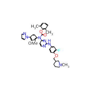 COc1cc(-n2cccn2)ccc1N(C(=O)Oc1c(C)cccc1C)c1ccnc(Nc2ccc(OCC3CCCN(C)C3)c(F)c2)n1